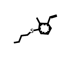 C=Cc1cccc(SCCCC)c1C